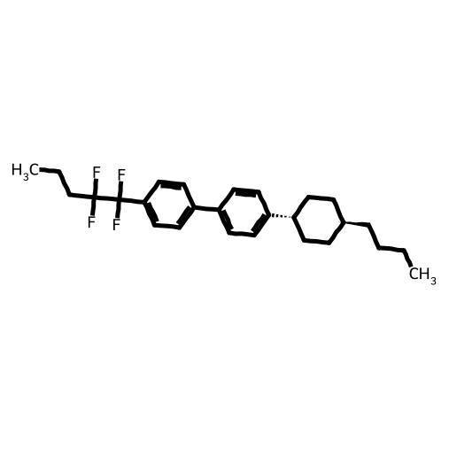 CCCC[C@H]1CC[C@H](c2ccc(-c3ccc(C(F)(F)C(F)(F)CCC)cc3)cc2)CC1